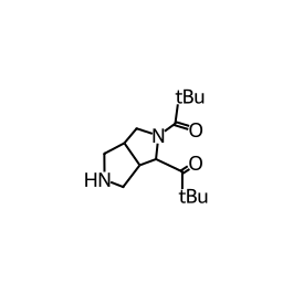 CC(C)(C)C(=O)C1C2CNCC2CN1C(=O)C(C)(C)C